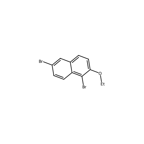 CCOc1ccc2cc(Br)ccc2c1Br